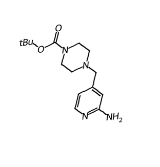 CC(C)(C)OC(=O)N1CCN(Cc2ccnc(N)c2)CC1